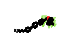 CCCC[C@H]1CC[C@H]([C@H]2CC[C@H](c3cc(F)c(C(F)(F)Oc4cc(F)c(C(F)(F)F)c(F)c4)c(F)c3)CC2)CC1